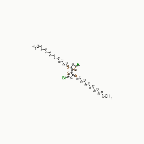 CCCCCCCCCCCCCCSC1=C(C2=C(SCCCCCCCCCCCCCC)CC(Br)S2)SC(Br)C1